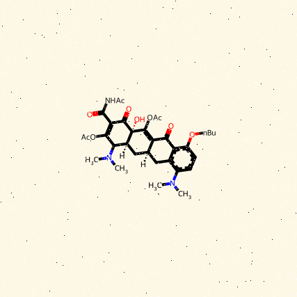 CCCCOc1ccc(N(C)C)c2c1C(=O)C1=C(OC(C)=O)[C@]3(O)C(=O)C(C(=O)NC(C)=O)=C(OC(C)=O)C(N(C)C)[C@@H]3C[C@@H]1C2